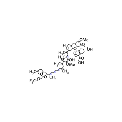 CO[C@@H]1CC(C[C@@H](C)C(CC(=O)[C@H](C)/C=C(\C)[C@@H](O)[C@@H](OC)C(=O)[C@H](C)C[C@H](C)/C=C/C=C/C=C(\C)C(C[C@@H]2CC[C@@H](C)CO2)OCCOCC(F)(F)F)OC(=O)[C@@H]2CCCCN2C(=O)C(=O)CO)CC[C@H]1OCCO